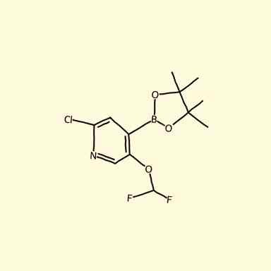 CC1(C)OB(c2cc(Cl)ncc2OC(F)F)OC1(C)C